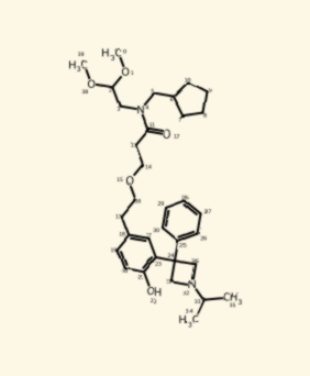 COC(CN(CC1CCCC1)C(=O)CCOCCc1ccc(O)c(C2(c3ccccc3)CN(C(C)C)C2)c1)OC